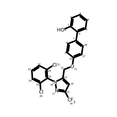 Oc1ccccc1-c1ccc(OCc2cc(C(F)(F)F)nn2-c2c(Cl)cccc2Cl)cc1